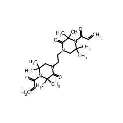 C=CC(=O)N1C(C)(C)CN(CCN2CC(C)(C)N(C(=O)C=C)C(C)(C)C2=O)C(=O)C1(C)C